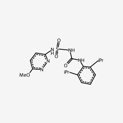 COc1ccc(NS(=O)(=O)NC(=O)Nc2c(C(C)C)cccc2C(C)C)nn1